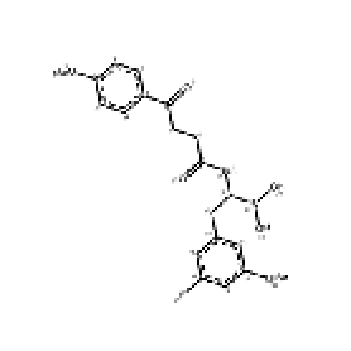 COc1ccc(C(=O)CCC(=O)NC(Cc2cc(F)cc(OC)c2)B(O)O)cc1